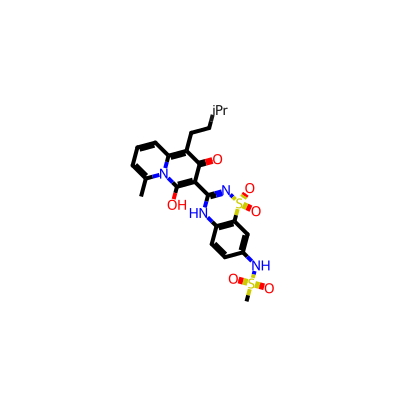 Cc1cccc2c(CCC(C)C)c(=O)c(C3=NS(=O)(=O)c4cc(NS(C)(=O)=O)ccc4N3)c(O)n12